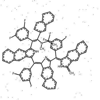 C=c1[nH]/c(=C(C2=N/C(=C(/c3cc(F)cc(F)c3)c3[nH]c(/C(=C(/c4ccc5ccccc5c4)N(C)C(C)F)c4cc(F)cc(F)c4)c4cc5ccccc5cc34)c3cc4ccccc4cc32)/c2cc(F)cc(F)c2)c2cc3ccccc3cc12